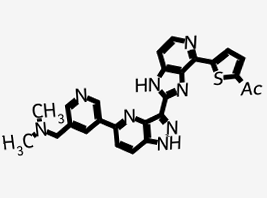 CC(=O)c1ccc(-c2nccc3[nH]c(-c4n[nH]c5ccc(-c6cncc(CN(C)C)c6)nc45)nc23)s1